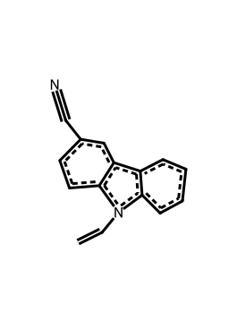 C=Cn1c2ccccc2c2cc(C#N)ccc21